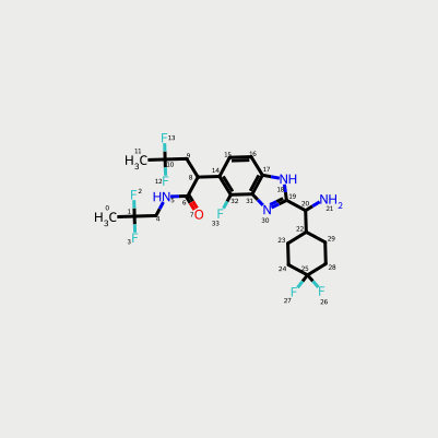 CC(F)(F)CNC(=O)C(CC(C)(F)F)c1ccc2[nH]c(C(N)C3CCC(F)(F)CC3)nc2c1F